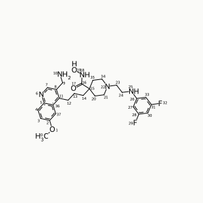 COc1ccc2ncc(CN)c(CCCC3(C(=O)NO)CCN(CCNc4cc(F)cc(F)c4)CC3)c2c1